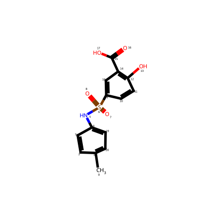 Cc1ccc(NS(=O)(=O)c2ccc(O)c(C(=O)O)c2)cc1